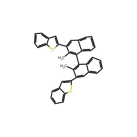 Cc1c(-c2cc3ccccc3s2)cc2ccccc2c1-c1c(C)c(-c2cc3ccccc3s2)cc2ccccc12